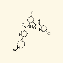 CC(=O)N1CCCN(c2cnc(C(=O)Nc3ccc(F)cc3C(=O)Nc3ccc(Cl)cn3)cn2)CC1